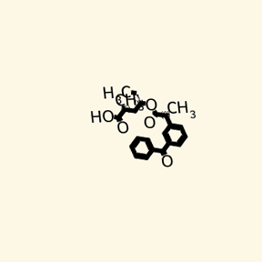 CC[C@@H](C[C@H](C)C(=O)O)OC(=O)[C@@H](C)c1cccc(C(=O)c2ccccc2)c1